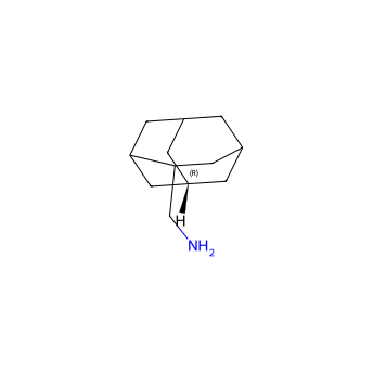 NCC1CC2CC3CC1C[C@@H](C2)C3